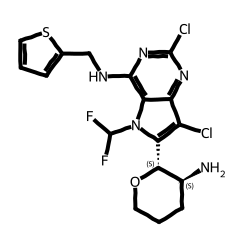 N[C@H]1CCCO[C@@H]1c1c(Cl)c2nc(Cl)nc(NCc3cccs3)c2n1C(F)F